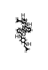 O=C(NC1CCC(NCC2CC2)CC1)C1CCCN1c1nc(Nc2cc(C3CC3)[nH]n2)c2cccn2n1